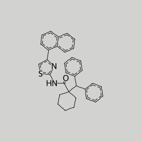 O=C(Nc1nc(-c2cccc3ccccc23)cs1)C1(C(c2ccccc2)c2ccccc2)CCCCC1